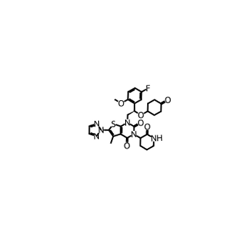 COc1ccc(F)cc1[C@H](Cn1c(=O)n(C2CCCNC2=O)c(=O)c2c(C)c(-n3nccn3)sc21)OC1CCC(=O)CC1